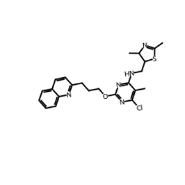 CC1=NC(C)C(CNc2nc(OCCCc3ccc4ccccc4n3)nc(Cl)c2C)S1